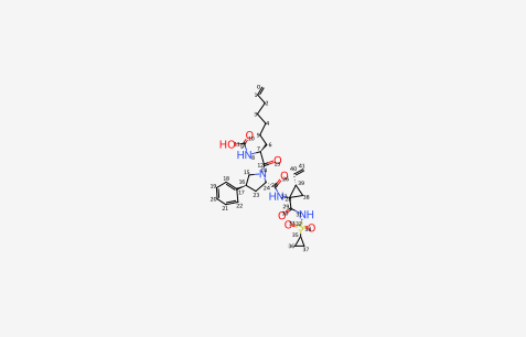 C=CCCCCC[C@H](NC(=O)O)C(=O)N1C[C@H](c2ccccc2)C[C@H]1C(=O)N[C@]1(C(=O)NS(=O)(=O)C2CC2)C[C@H]1C=C